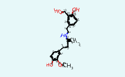 C=C(CCc1ccc(O)c(OC)c1)NCCc1ccc(O)c(CO)c1